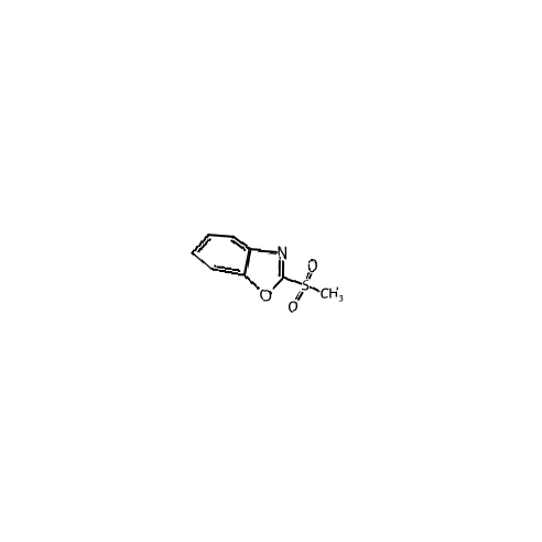 CS(=O)(=O)c1nc2ccccc2o1